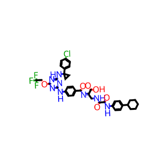 O=C(NC/C(=N/C(=O)c1ccc(Nc2nc(NC3(c4ccc(Cl)cc4)CC3)nc(OCC(F)(F)F)n2)cc1)C(=O)O)C(=O)Nc1ccc(C2CCCCC2)cc1